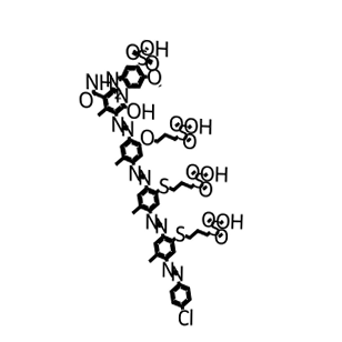 COc1cc2c(cc1S(=O)(=O)O)nc1c(C(N)=O)c(C)c(N=Nc3cc(C)c(N=Nc4cc(C)c(N=Nc5cc(C)c(N=Nc6ccc(Cl)cc6)cc5SCCCS(=O)(=O)O)cc4SCCCS(=O)(=O)O)cc3OCCCS(=O)(=O)O)c(O)n12